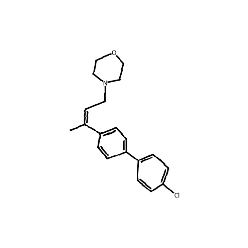 CC(=CCN1CCOCC1)c1ccc(-c2ccc(Cl)cc2)cc1